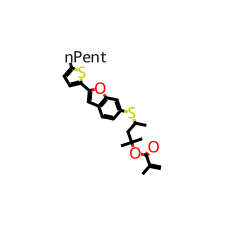 C=C(C)C(=O)OC(C)(C)CC(C)Sc1ccc2cc(-c3ccc(CCCCC)s3)oc2c1